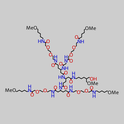 COCCCCCNC(=O)COCCOCCNC(=O)CCC(CC(=O)NCCOCCOCC(=O)NCCCCCOC)NC(=O)CCC(CC(=O)NCCCCC(CO)COC)NC(=O)CC(CCC(=O)NCCOCCOCC(=O)NCCCCCOC)NC(=O)CNC(=O)COCCOCCNC(=O)CCCCOC